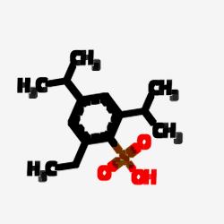 CCc1cc(C(C)C)cc(C(C)C)c1S(=O)(=O)O